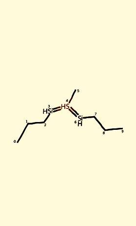 CCC/[SiH]=[SH](/C)=[SiH]/CCC